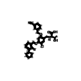 C[C@@H](O)[C@H](NCc1cc(Cl)c(OCc2cccc(-c3ccccc3)c2Br)cc1OCc1cccc(C#N)c1)C(=O)O